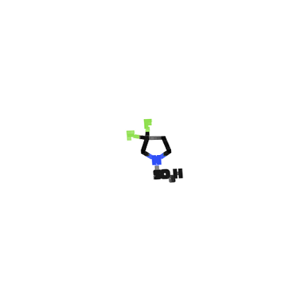 O=S(=O)(O)N1CCC(F)(F)C1